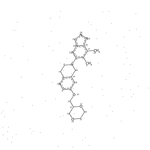 Cc1c(N2CCc3ncc(OCC4COCCO4)cc3C2)nn2cnnc2c1C